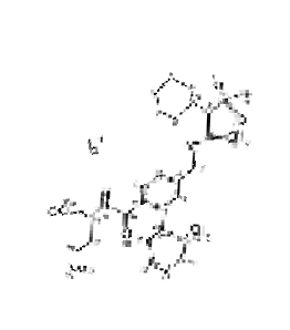 CCS(=O)(=O)C(C1CCCCC1)C(C)OCc1ccc(C(=O)N[C@@H](CCSC)C(=O)[O-])c(-c2ccccc2C)c1.[Li+]